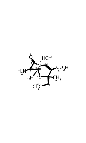 CC1(CC(Cl)(Cl)Cl)S[C@@H]2C(N)C(=O)N2C=C1C(=O)O.Cl